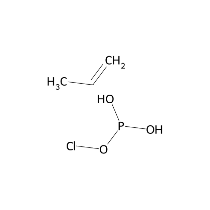 C=CC.OP(O)OCl